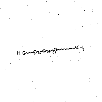 CCCCCCCCCCCCCCCCOC(=O)CCCOCCOCCOCCOCCCCCCCC